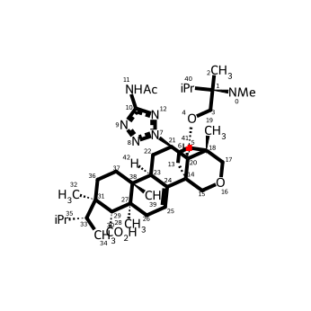 CN[C@@](C)(CO[C@H]1[C@H](n2nnc(NC(C)=O)n2)C[C@@]23COC[C@]1(C)[C@@H]2CC[C@H]1C3=CC[C@@]2(C)[C@H](C(=O)O)[C@@](C)([C@H](C)C(C)C)CC[C@]12C)C(C)C